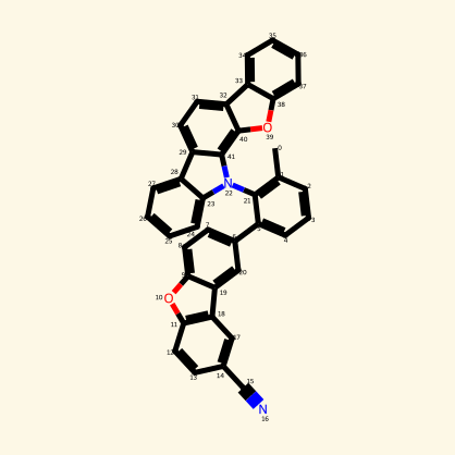 Cc1cccc(-c2ccc3oc4ccc(C#N)cc4c3c2)c1-n1c2ccccc2c2ccc3c4ccccc4oc3c21